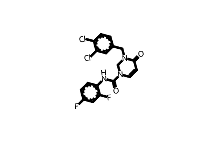 O=C(Nc1ccc(F)cc1F)N1C=CC(=O)N(Cc2ccc(Cl)c(Cl)c2)C1